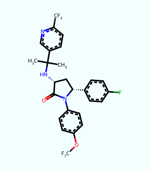 CC(C)(N[C@@H]1C[C@H](c2ccc(F)cc2)N(c2ccc(OC(F)(F)F)cc2)C1=O)c1ccc(C(F)(F)F)nc1